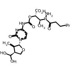 C=C1[C@H](C(O)O)CO[C@H]1n1ccc(NC(=O)O[C@H](C(=O)O)[C@H](C)N(N)C(=O)CCC(C)C)nc1=O